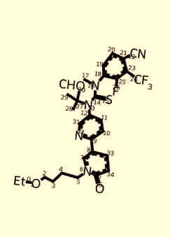 CCOCCCCn1cc(-c2ccc(N(C(=S)N(C)c3ccc(C#N)c(C(F)(F)F)c3F)C(C)(C)C=O)cn2)ccc1=O